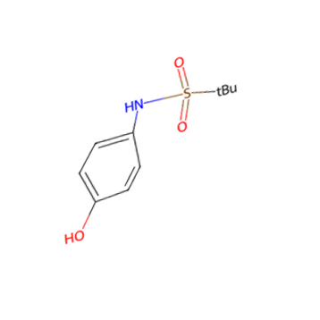 CC(C)(C)S(=O)(=O)Nc1ccc(O)cc1